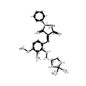 CCCOc1ccc(C=C2C(=O)NN(c3ccccc3)C2=O)c(OC[C@@H]2COC(C)(C)O2)c1C